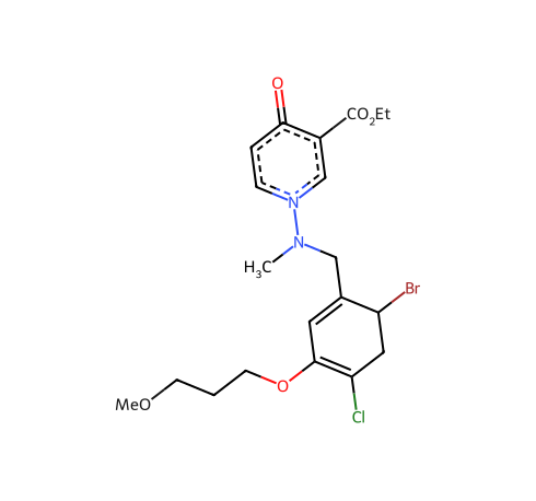 CCOC(=O)c1cn(N(C)CC2=CC(OCCCOC)=C(Cl)CC2Br)ccc1=O